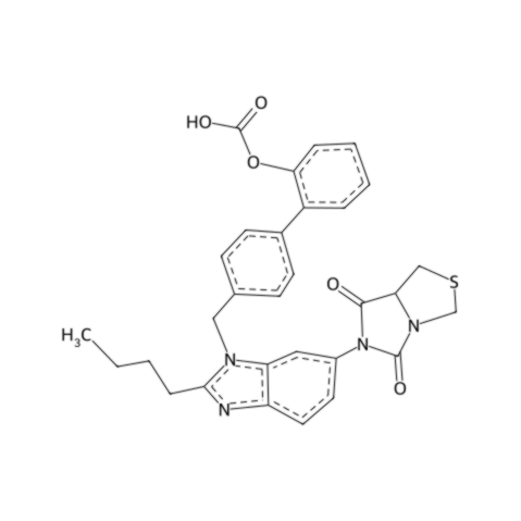 CCCCc1nc2ccc(N3C(=O)C4CSCN4C3=O)cc2n1Cc1ccc(-c2ccccc2OC(=O)O)cc1